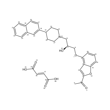 CC(=O)c1cc2c(OC[C@@H](O)CN3CCC(c4ccc5ccccc5c4)CC3)cccc2o1.O=C(O)C=CC(=O)O